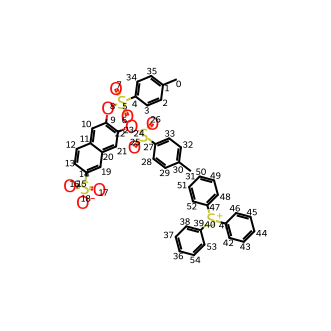 Cc1ccc(S(=O)(=O)Oc2cc3ccc(S(=O)(=O)[O-])cc3cc2OS(=O)(=O)c2ccc(C)cc2)cc1.c1ccc([S+](c2ccccc2)c2ccccc2)cc1